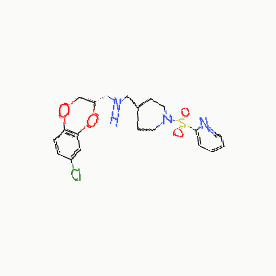 O=S(=O)(c1ccccn1)N1CCC(CNC[C@H]2COc3ccc(Cl)cc3O2)CC1